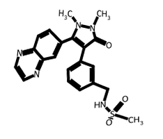 Cn1c(-c2ccc3nccnc3c2)c(-c2cccc(CNS(C)(=O)=O)c2)c(=O)n1C